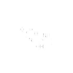 COC(=O)[C@@H]1CCCN1C(=O)[C@@H](O)[C@H](N)C1CC1